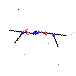 CCCCCCCCCCN(CCCCCCCCCC)CCCCCC(=O)OCCCCN1CCN(CCCCOC(=O)CCN(CCCCCCCCCC)CCCCCCCCCC)CC1